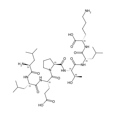 CC(C)C[C@H](NC(=O)[C@@H](NC(=O)[C@@H]1CCCN1C(=O)[C@H](CCC(=O)O)NC(=O)[C@H](CC(C)C)NC(=O)[C@@H](N)CC(C)C)[C@@H](C)O)C(=O)N[C@@H](CCCCN)C(=O)O